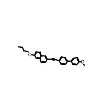 CCCCOc1ccc2cc(C#Cc3ccc(-c4ccc(OC)cc4)cc3)ccc2c1